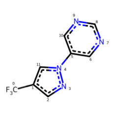 FC(F)(F)c1cnn(-c2cncnc2)c1